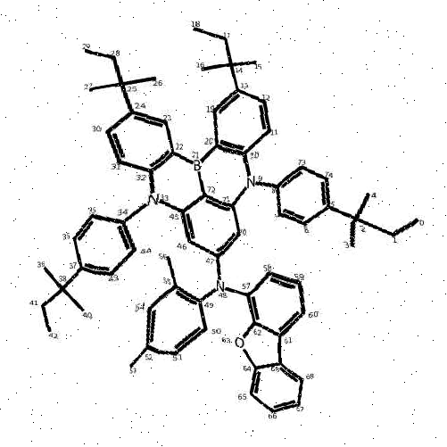 CCC(C)(C)c1ccc(N2c3ccc(C(C)(C)CC)cc3B3c4cc(C(C)(C)CC)ccc4N(c4ccc(C(C)(C)CC)cc4)c4cc(N(c5ccc(C)cc5C)c5cccc6c5oc5ccccc56)cc2c43)cc1